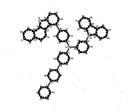 c1ccc(-c2ccc(-c3ccc(N(c4ccc(-c5cccc6oc7c8ccccc8ccc7c56)cc4)c4cccc(-n5c6ccccc6c6ccccc65)c4)cc3)cc2)cc1